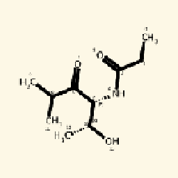 CCC(=O)N[C@@H](C(=O)C(C)C)[C@@H](C)O